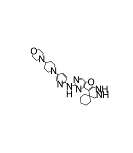 c1cc(Nc2ncc3oc4c(c3n2)C2(CCCCC2)CNN4)ncc1N1CCC(N2CCOCC2)CC1